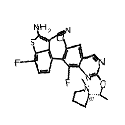 CC(Oc1ncc2cc(Cl)c(-c3ccc(F)c4sc(N)c(C#N)c34)c(F)c2n1)[C@@H]1CCCN1C